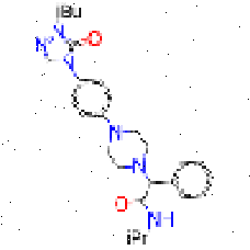 CCC(C)n1ncn(-c2ccc(N3CCN(C(C(=O)NC(C)C)c4ccccc4)CC3)cc2)c1=O